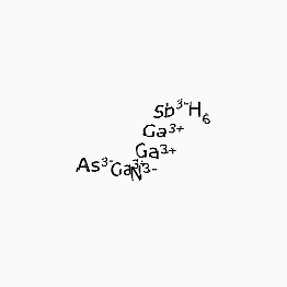 [As-3].[Ga+3].[Ga+3].[Ga+3].[N-3].[SbH6-3]